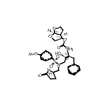 COc1ccc(S(=O)(=O)N(CC2CCC(=O)N2)C[C@@H](O)[C@H](Cc2ccccc2)NC(=O)OC2CO[C@H]3OCC[C@@H]23)cc1